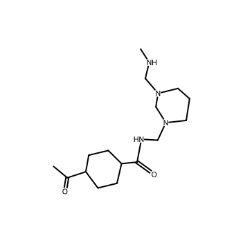 CNCN1CCCN(CNC(=O)C2CCC(C(C)=O)CC2)C1